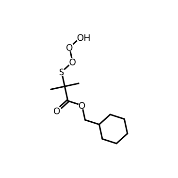 CC(C)(SOOO)C(=O)OCC1CCCCC1